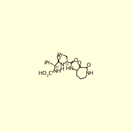 CC(C)C[C@H](NC(=O)[C@@H](NC(=O)O)C(C)C)C(=O)NC1CCCNC(=O)C1=O